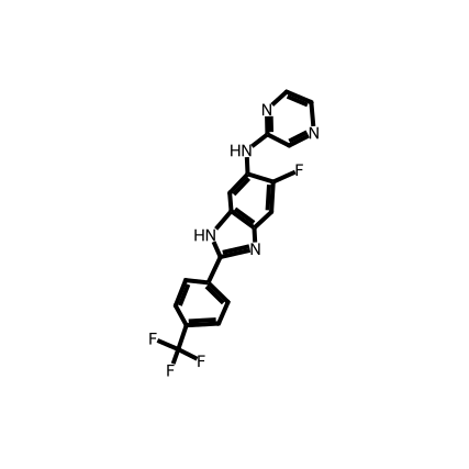 Fc1cc2nc(-c3ccc(C(F)(F)F)cc3)[nH]c2cc1Nc1cnccn1